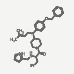 CC(C)=CCN(c1ccc(OCc2ccccc2)cc1)C1CCN(C(=O)C(CC(C)C)NCc2ccc[nH]2)CC1